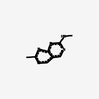 CNc1ncc2c[c]c(C)nc2n1